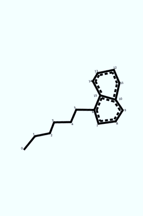 CCCCCCc1cccc2cc[c]cc12